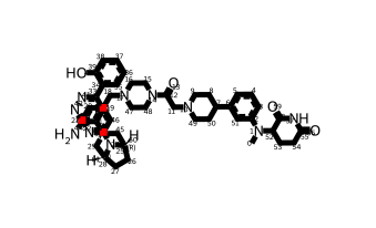 CN(c1cccc(C2CCN(CC(=O)N3CCN(Cc4ccnc(N5[C@@H]6CC[C@H]5CN(c5cc(-c7ccccc7O)nnc5N)C6)c4)CC3)CC2)c1)C1CCC(=O)NC1=O